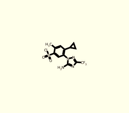 Cc1cc(C2CC2)c(-n2nc(C(F)(F)F)nc2N)cc1S(=O)(=O)Cl